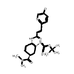 CN(C)C(=O)[C@H]1CC[C@H](NC(=O)/C=C/c2ccc(Cl)cn2)[C@H](NC(=O)OC(C)(C)C)C1